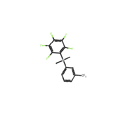 C[Si](C)(c1cccc(C(F)(F)F)c1)c1c(F)c(F)c(F)c(F)c1F